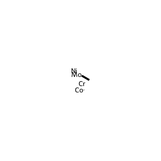 [CH3][Mo].[Co].[Cr].[Ni]